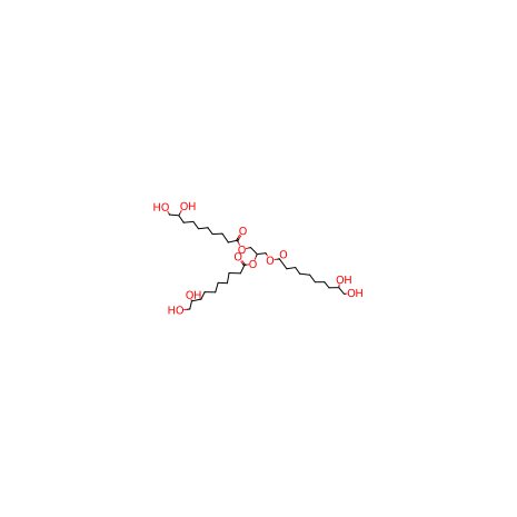 O=C(CCCCCCCC(O)CO)OCC(COC(=O)CCCCCCCC(O)CO)OC(=O)CCCCCCCC(O)CO